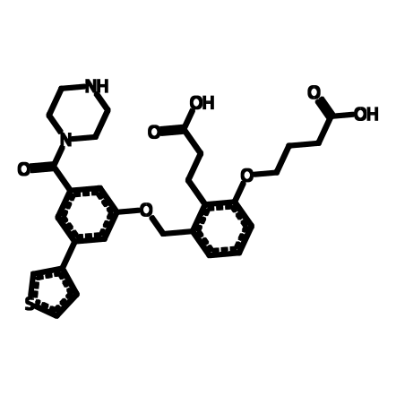 O=C(O)CCCOc1cccc(COc2cc(C(=O)N3CCNCC3)cc(-c3ccsc3)c2)c1CCC(=O)O